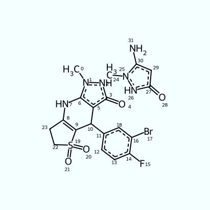 Cn1[nH]c(=O)c2c1NC1=C(C2c2ccc(F)c(Br)c2)S(=O)(=O)CC1.Cn1[nH]c(=O)cc1N